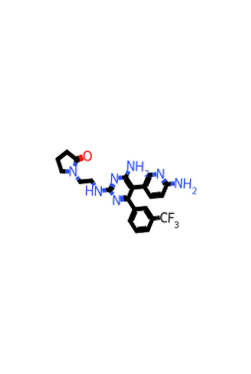 Nc1ccc(-c2c(N)nc(NCCN3CCCC3=O)nc2-c2cccc(C(F)(F)F)c2)cn1